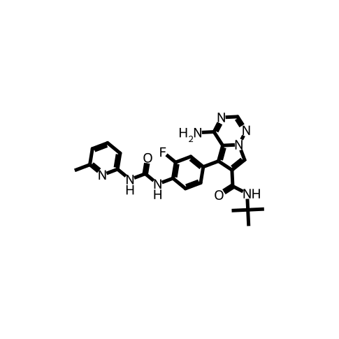 Cc1cccc(NC(=O)Nc2ccc(-c3c(C(=O)NC(C)(C)C)cn4ncnc(N)c34)cc2F)n1